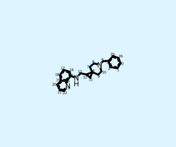 c1ccc(CN2CCC3(CC2)CC3CNc2cccc3cccnc23)cc1